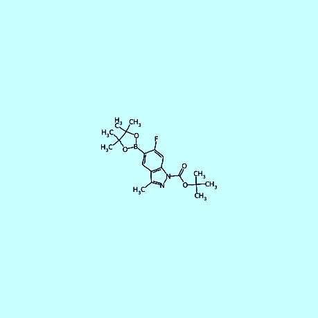 Cc1nn(C(=O)OC(C)(C)C)c2cc(F)c(B3OC(C)(C)C(C)(C)O3)cc12